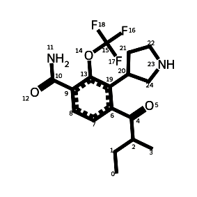 CCC(C)C(=O)c1ccc(C(N)=O)c(OC(F)(F)F)c1C1CCNC1